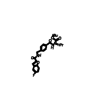 CCCN(NC(=O)c1ccc(CNC(=O)c2cc3cc(F)ccc3o2)cc1)C(=O)OC(C)(C)C